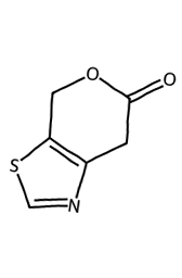 O=C1Cc2ncsc2CO1